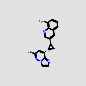 FC(F)(F)c1cccc2cc([C@H]3C[C@@H]3c3cc(Cl)nn4ccnc34)cnc12